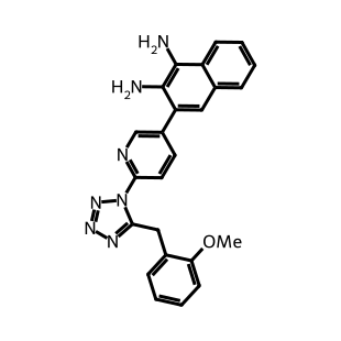 COc1ccccc1Cc1nnnn1-c1ccc(-c2cc3ccccc3c(N)c2N)cn1